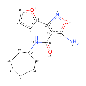 Nc1onc(-c2ccco2)c1C(=O)NC1CCCCCC1